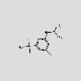 CC(C)Nc1cc(Cl)nc(C(C)(F)F)n1